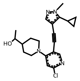 CC(O)C1CCN(c2cc(Cl)ncc2C#Cc2cnn(C)c2C2CC2)CC1